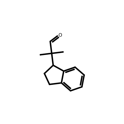 CC(C)(C=O)C1CCc2ccccc21